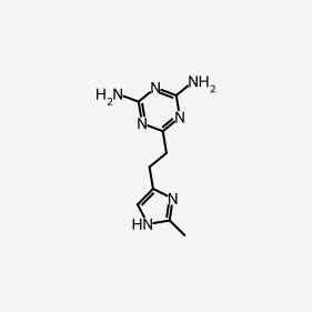 Cc1nc(CCc2nc(N)nc(N)n2)c[nH]1